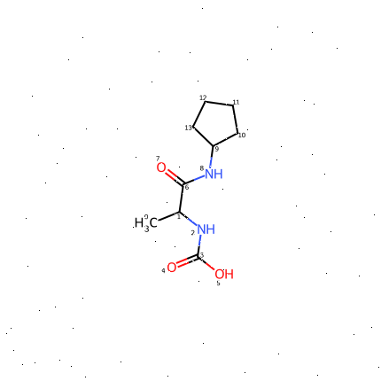 CC(NC(=O)O)C(=O)NC1CCCC1